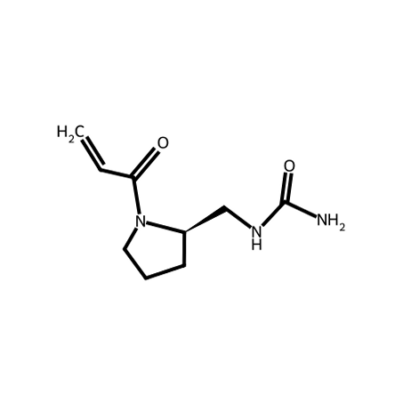 C=CC(=O)N1CCC[C@@H]1CNC(N)=O